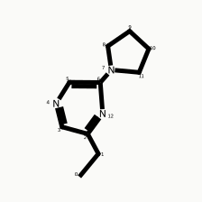 CCc1cncc(N2CCCC2)n1